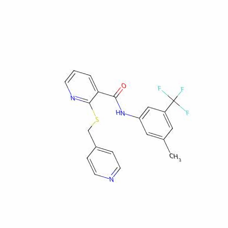 Cc1cc(NC(=O)c2cccnc2SCc2ccncc2)cc(C(F)(F)F)c1